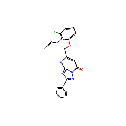 C=CCc1c(Cl)cccc1OCc1cc(=O)n2nc(-c3ccccc3)nc2[nH]1